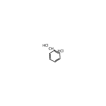 C.Cl.Cl.c1ccccc1